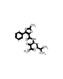 Cc1nc(-c2ccccc2)c(C(=O)N[C@@H](CCC(C)C)C(=O)C(N)=O)o1